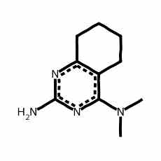 CN(C)c1nc(N)nc2c1CCCC2